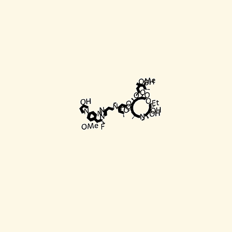 CC[C@H]1OC(=O)[C@H](C)[C@@H](O[C@H]2C[C@@](C)(OC)[C@@H](O)[C@H](C)O2)[C@H](C)[C@@H](O[C@H]2C[C@@H](N(C)CCc3cn([C@H](CF)[C@H](OC)c4ccc(N5CC[C@H](O)C5)cc4)nn3)C[C@@H](C)O2)[C@](C)(O)C[C@@H](C)CN(C)[C@H](C)[C@@H](O)[C@]1(C)O